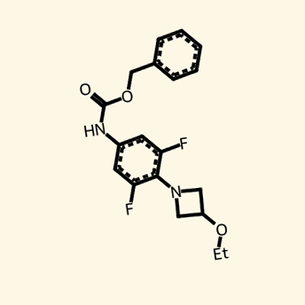 CCOC1CN(c2c(F)cc(NC(=O)OCc3ccccc3)cc2F)C1